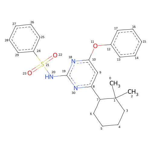 CC1(C)CCCCC1c1cc(Oc2ccccc2)nc(NS(=O)(=O)c2ccccc2)n1